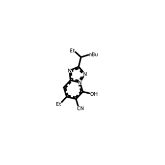 CCCCC(CC)c1nc2cc(CC)c(C#N)c(O)n2n1